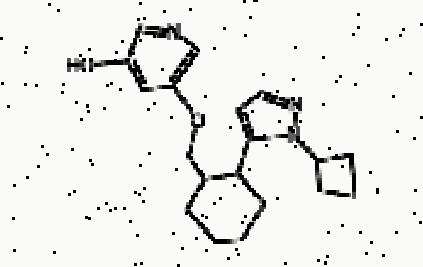 Oc1cncc(OCC2CCCCC2c2ccnn2C2CCC2)c1